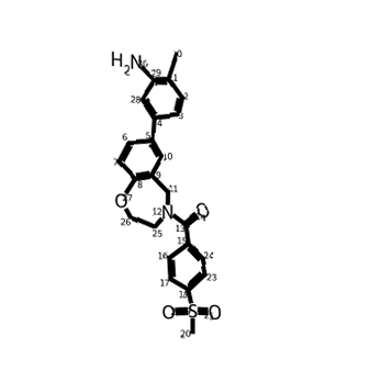 Cc1ccc(-c2ccc3c(c2)CN(C(=O)c2ccc(S(C)(=O)=O)cc2)CCO3)cc1N